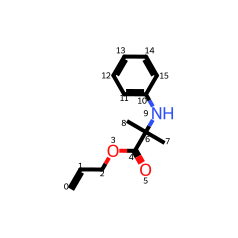 C=CCOC(=O)C(C)(C)Nc1ccccc1